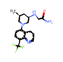 C[C@H]1C[C@@H](NCC(N)=O)CN(c2ccc(C(F)(F)F)c3ncccc23)C1